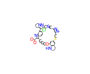 COC(=O)c1c2c3ccc(Cl)c(c3n1C)-c1c(nn3c1CCC3)CN(C)Cc1cc(n(C)n1)CSc1cc3c(c(c1)OCCC2)NCCC3